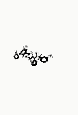 CCCc1cc(C(=O)N[C@@H](Cc2ccccc2)[C@@H](O)CNC(C)(C)c2cccc(C(F)(F)F)c2)c(F)c(N2CCCC2=O)c1